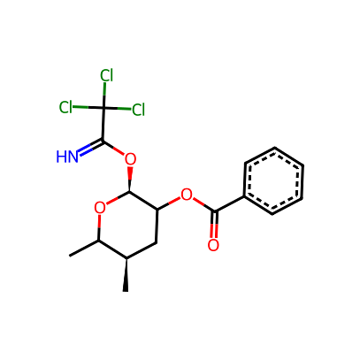 CC1O[C@@H](OC(=N)C(Cl)(Cl)Cl)C(OC(=O)c2ccccc2)C[C@H]1C